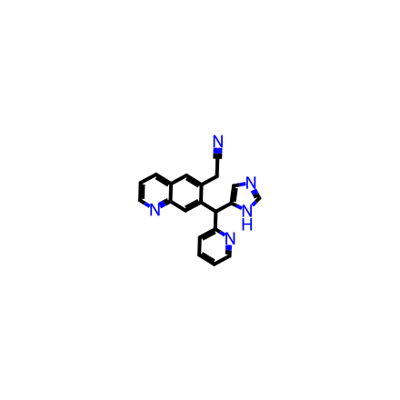 N#CCc1cc2cccnc2cc1C(c1ccccn1)c1cnc[nH]1